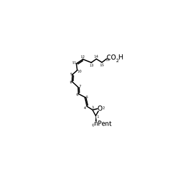 CCCCC[C@@H]1OC1/C=C/C=C/C=C\C/C=C\CCCC(=O)O